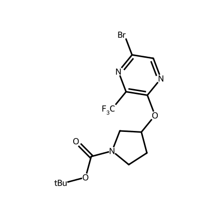 CC(C)(C)OC(=O)N1CCC(Oc2ncc(Br)nc2C(F)(F)F)C1